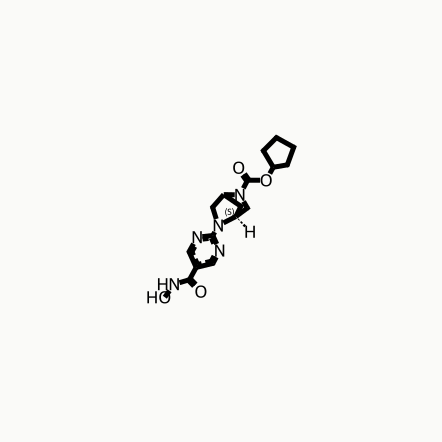 O=C(NO)c1cnc(N2CC3C[C@H]2CN3C(=O)OC2CCCC2)nc1